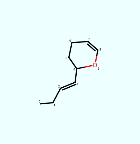 CCC=CC1CCC=CO1